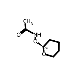 CC(=O)NO[C@H]1CCCCO1